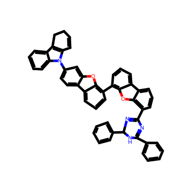 C1=Cc2c(c3ccccc3n2-c2ccc3c(c2)oc2c(-c4cccc5c4oc4c(C6=NC(c7ccccc7)NC(c7ccccc7)=N6)cccc45)cccc23)CC1